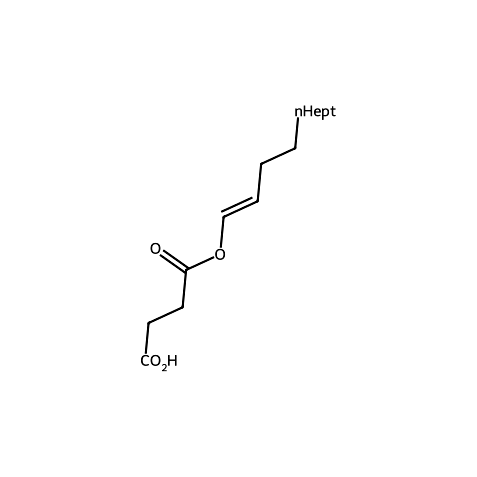 CCCCCCCCCC=COC(=O)CCC(=O)O